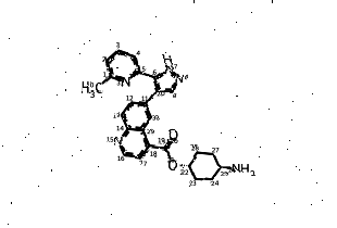 Cc1cccc(-c2[nH]ncc2-c2ccc3nccc(C(=O)O[C@H]4CC[C@H](N)CC4)c3c2)n1